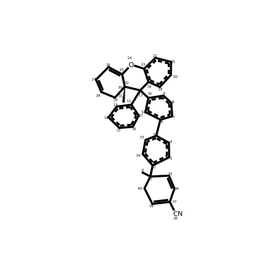 CC1(c2ccc(-c3cccc(C4(c5ccccc5)c5ccccc5OC5=CC=CC[C@]54C)c3)cc2)C=CC(C#N)=CC1